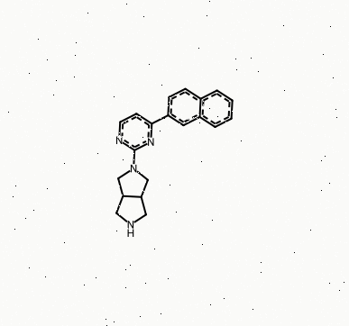 c1ccc2cc(-c3ccnc(N4CC5CNCC5C4)n3)ccc2c1